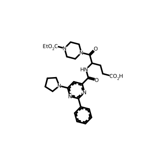 CCOC(=O)N1CCN(C(=O)C(CCC(=O)O)NC(=O)c2cc(N3CCCC3)nc(-c3ccccc3)n2)CC1